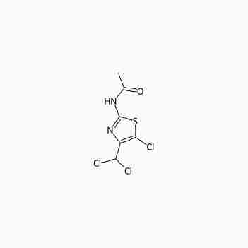 CC(=O)Nc1nc(C(Cl)Cl)c(Cl)s1